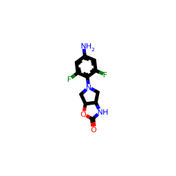 Nc1cc(F)c(N2CC3NC(=O)OC3C2)c(F)c1